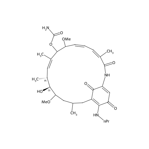 CCCNC1=C2CC(C)CC(OC)[C@@H](O)[C@H](C)C=C(C)C(OC(N)=O)C(OC)C=CC=C(C)C(=O)NC(=CC1=O)C2=O